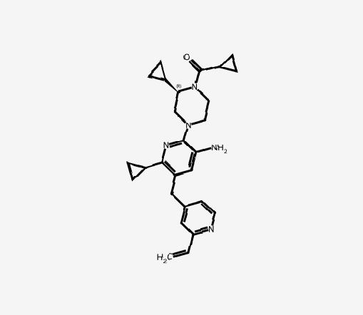 C=Cc1cc(Cc2cc(N)c(N3CCN(C(=O)C4CC4)[C@H](C4CC4)C3)nc2C2CC2)ccn1